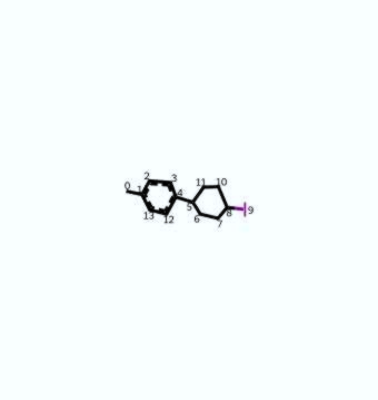 Cc1ccc(C2CCC(I)CC2)cc1